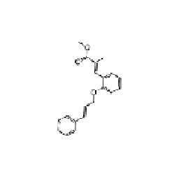 COC(=O)/C(C)=C/c1ccccc1OC/C=C/c1ccccc1